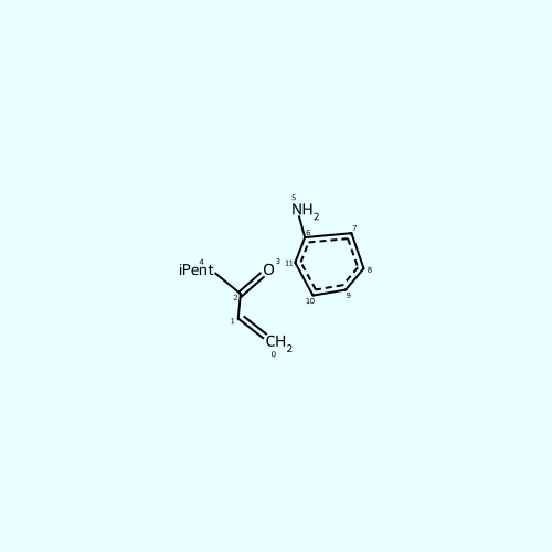 C=CC(=O)C(C)CCC.Nc1ccccc1